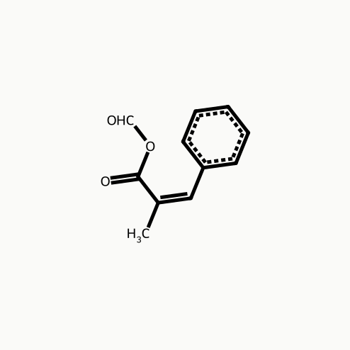 CC(=Cc1ccccc1)C(=O)OC=O